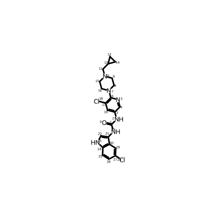 O=C(Nc1cnc(N2CCN(CC3CC3)CC2)c(Cl)c1)Nc1c[nH]c2ccc(Cl)cc12